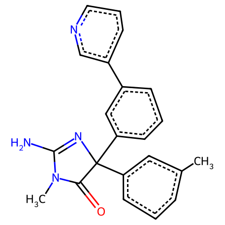 Cc1cccc(C2(c3cccc(-c4cccnc4)c3)N=C(N)N(C)C2=O)c1